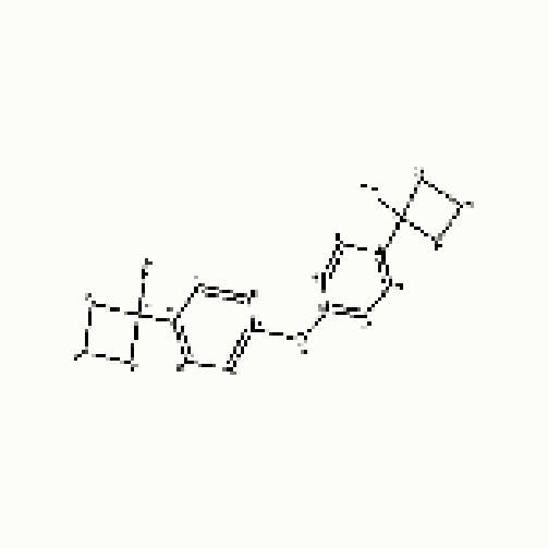 FC1(c2ccc(Oc3ccc(C4(F)CCC4)cc3)cc2)CCC1